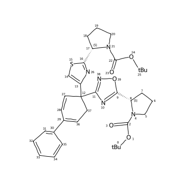 CC(C)(C)OC(=O)N1CCC[C@H]1c1nc(C2(c3csc([C@@H]4CCCN4C(=O)OC(C)(C)C)n3)C=CC(c3ccccc3)=CC2)no1